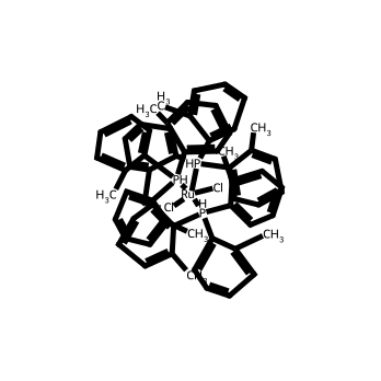 Cc1ccccc1[PH](c1ccccc1C)(c1ccccc1C)[Ru]([Cl])([Cl])([PH](c1ccccc1C)(c1ccccc1C)c1ccccc1C)[PH](c1ccccc1C)(c1ccccc1C)c1ccccc1C